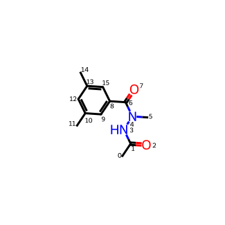 CC(=O)NN(C)C(=O)c1cc(C)cc(C)c1